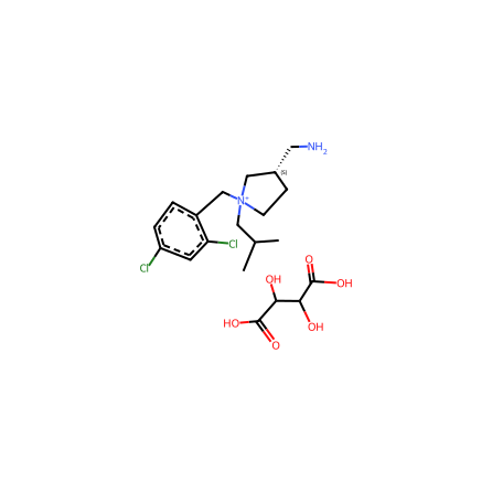 CC(C)C[N+]1(Cc2ccc(Cl)cc2Cl)CC[C@@H](CN)C1.O=C(O)C(O)C(O)C(=O)O